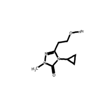 CCCOCCc1nn(C)c(=O)n1C1CC1